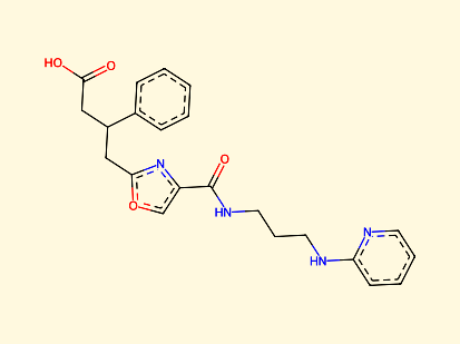 O=C(O)CC(Cc1nc(C(=O)NCCCNc2ccccn2)co1)c1ccccc1